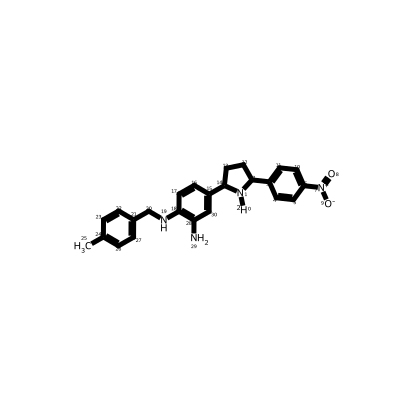 [2H]N1C(c2ccc([N+](=O)[O-])cc2)CCC1c1ccc(NCc2ccc(C)cc2)c(N)c1